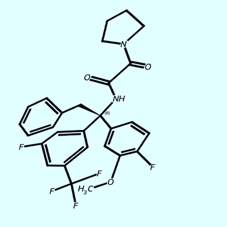 COc1cc([C@@](Cc2ccccc2)(NC(=O)C(=O)N2CCCC2)c2cc(F)cc(C(F)(F)F)c2)ccc1F